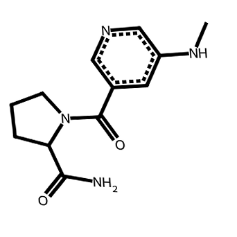 CNc1cncc(C(=O)N2CCCC2C(N)=O)c1